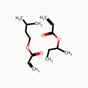 C=CC(=O)OC(C)CC.C=CC(=O)OCCC(C)C